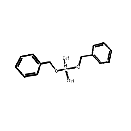 O[PH](O)(OCc1ccccc1)OCc1ccccc1